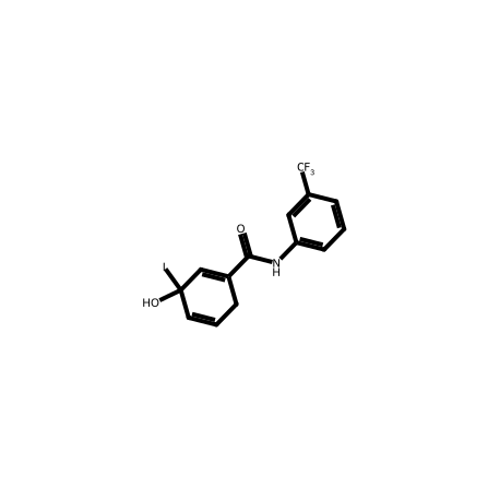 O=C(Nc1cccc(C(F)(F)F)c1)C1=CC(O)(I)C=CC1